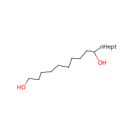 CCCCCCCC(O)CCCCCCCCCO